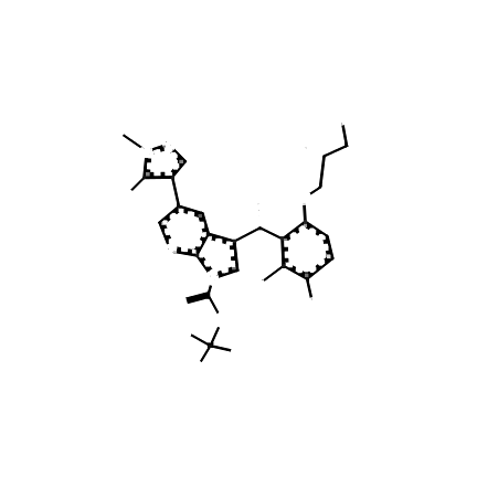 Cc1c(-c2cnc3c(c2)c([C@H](C)c2c(OC[C@H](O)CO)ccc(F)c2Cl)cn3C(=O)OC(C)(C)C)cnn1C